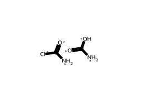 NC(=O)Cl.NC(=O)O